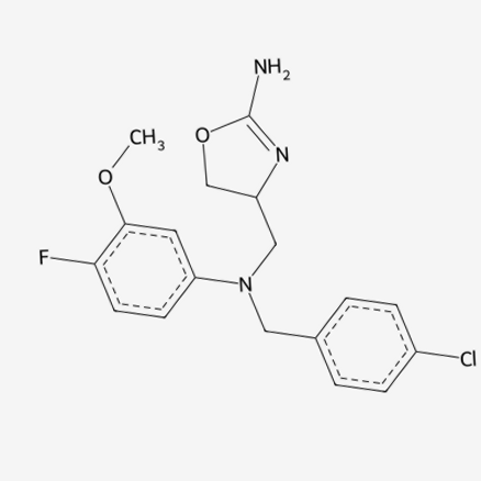 COc1cc(N(Cc2ccc(Cl)cc2)CC2COC(N)=N2)ccc1F